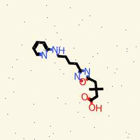 CC(C)(CC(=O)O)Cc1nc(CCCCNc2ccccn2)no1